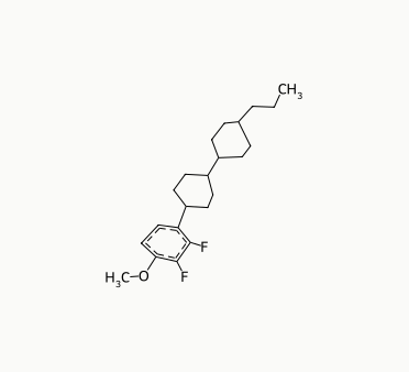 CCCC1CCC(C2CCC(c3ccc(OC)c(F)c3F)CC2)CC1